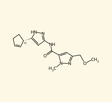 COCc1cc(C(=O)Nc2cc([C@@H]3C=CCC3)[nH]n2)n(C)n1